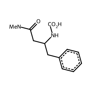 CNC(=O)CC(Cc1ccccc1)NC(=O)O